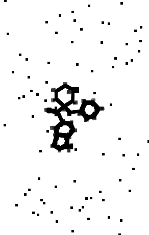 O=C(c1ccc2[nH]ccc2c1)[C@]1(Cc2ccccc2)CCCNC1